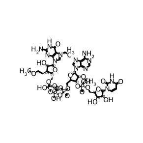 CC[n+]1cn([C@@H]2O[C@H](COP(=O)(O)OP(=O)(O)OP(=O)(O)OCC3O[C@@H](n4cnc5c(N)ncnc54)[C@H](OC)[C@@H]3OP(=O)(O)OC[C@H]3O[C@@H](n4ccc(=O)[nH]c4=O)[C@H](O)[C@@H]3O)[C@@H](CCOC)[C@H]2O)c2nc(N)[nH]c(=O)c21